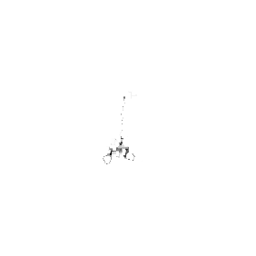 CCCCCCCCCCCCC(=O)Nc1nn2c([nH]c3ccc(Cl)cc32)c1OS(=O)(=O)c1ccccc1